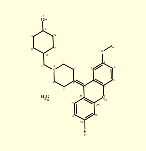 CSc1ccc2c(c1)C(=C1CCN(CC3CCC(O)CC3)CC1)c1ccc(F)cc1O2.O